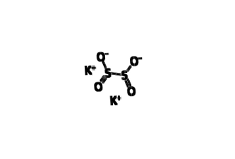 O=S([O-])S(=O)[O-].[K+].[K+]